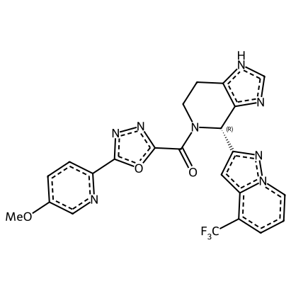 COc1ccc(-c2nnc(C(=O)N3CCc4[nH]cnc4[C@@H]3c3cc4c(C(F)(F)F)cccn4n3)o2)nc1